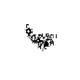 COC(=N)/C(=C\NC1(C(=O)C(=O)N(C)C)NN1C)C(=O)N1CCCN(Cc2ccc(F)cc2)CC1